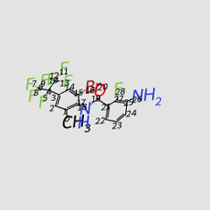 Cc1cc(C(F)(C(F)(F)F)C(F)(F)F)cc(Br)c1NC(=O)c1cccc(N)c1F